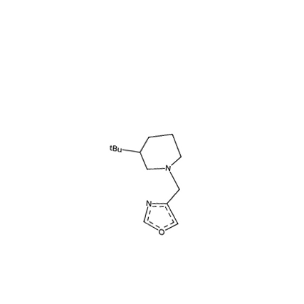 CC(C)(C)C1CCCN(Cc2cocn2)C1